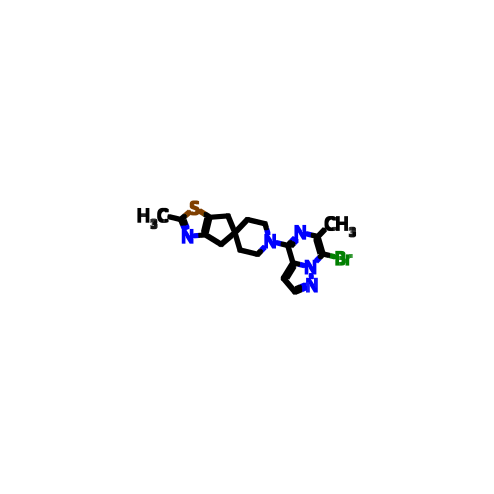 Cc1nc2c(s1)CC1(CCN(c3nc(C)c(Br)n4nccc34)CC1)C2